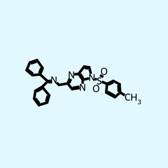 Cc1ccc(S(=O)(=O)n2ccc3nc(CN=C(c4ccccc4)c4ccccc4)cnc32)cc1